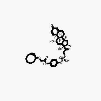 C[C@@H]1C[C@H]2[C@@H]3CCC4=CC(=O)C=C[C@]4(C)[C@@]3(F)[C@@H](O)C[C@]2(C)[C@@]1(O)C(=O)COP(=O)(O)Oc1ccc(NC(=O)COC2C#CCCCCC2)cc1